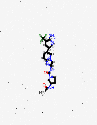 CC(=O)NC1CCN(C(=O)Nc2cn3cc(-c4cnc(N)c(C(F)(F)F)c4)ccc3n2)C1